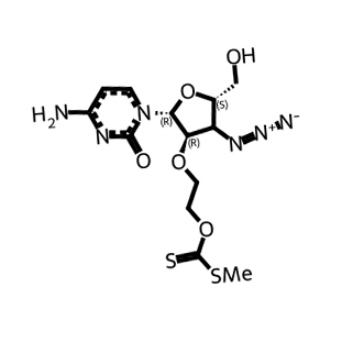 CSC(=S)OCCO[C@@H]1C(N=[N+]=[N-])[C@@H](CO)O[C@H]1n1ccc(N)nc1=O